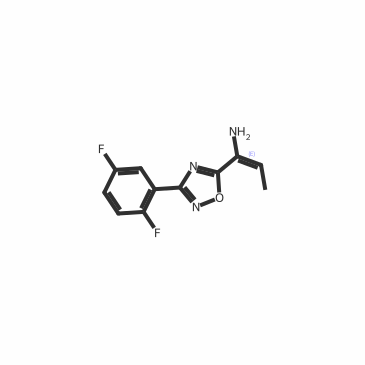 C/C=C(/N)c1nc(-c2cc(F)ccc2F)no1